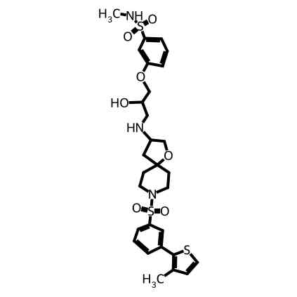 CNS(=O)(=O)c1cccc(OCC(O)CNC2COC3(CCN(S(=O)(=O)c4cccc(-c5sccc5C)c4)CC3)C2)c1